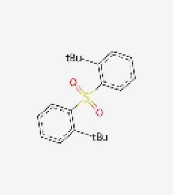 CC(C)(C)c1ccccc1S(=O)(=O)c1ccccc1C(C)(C)C